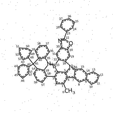 Cc1cc2c3c4c1c1cc5ccccc5cc1n4-c1cc4oc(-c5ccccc5)nc4cc1B3N1c3ccccc3C(c3ccccc3)(c3ccccc3)c3cccc-2c31